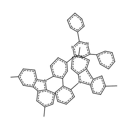 Cc1ccc2c(c1)c1cc(C)ccc1n2-c1ccccc1-c1cc(-c2cc(-c3ccccc3)nc(-c3ccccc3)n2)ccc1-n1c2ccc(C)cc2c2cc(C)ccc21